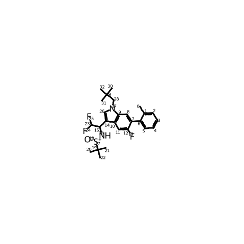 Cc1ccccc1-c1cc2c(cc1F)c(C(N[S@@+]([O-])C(C)(C)C)C(F)F)cn2CC(C)(C)C